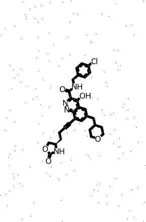 O=C1N[C@H](CCC#Cc2cc(CC3CCOCC3)cc3c(O)c(C(=O)NCc4ccc(Cl)cc4)nnc23)CO1